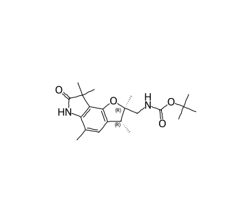 Cc1cc2c(c3c1NC(=O)C3(C)C)O[C@@](C)(CNC(=O)OC(C)(C)C)[C@@H]2C